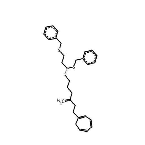 C=C(CCCC[C@H](CCSCc1ccccc1)SCc1ccccc1)CCC1=CC=CC=CC1